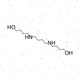 OCCCCNCCCCNCCCCO